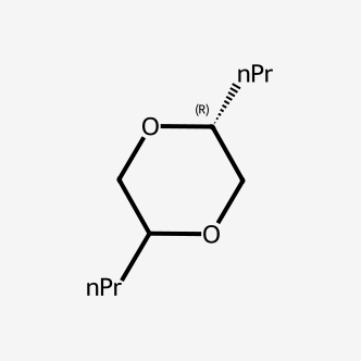 CCCC1CO[C@H](CCC)CO1